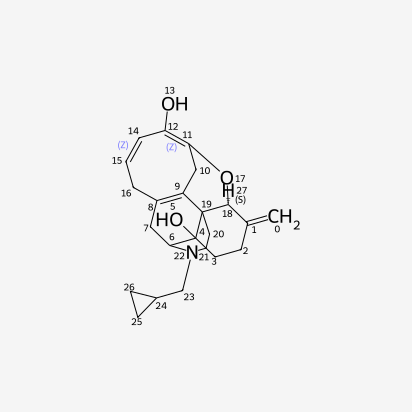 C=C1CCC2(O)C3CC4=C5C/C(=C(O)\C=C/C4)O[C@@H]1C52CCN3CC1CC1